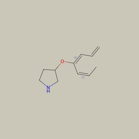 C=C/C=C(\C=C/C)OC1CCNC1